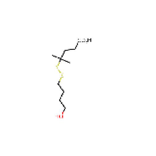 CC(C)(CCC(=O)O)SSCCCCO